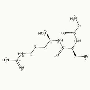 CC(C)C[C@H](NC(=O)CN)C(=O)N[C@@H](CCCNC(=N)N)C(=O)O